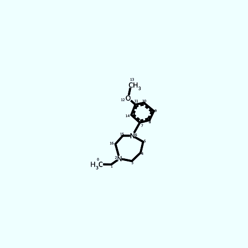 CCN1CCCN(c2cccc(OC)c2)CC1